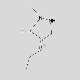 C=C1/C(=C\CC)CNN1C